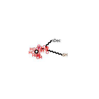 CCCCCCCCCCCCCCCC(=O)O[C@H](COC(=O)CCCCCCCCCCS)COP(=O)(O)OC1C(O)[C@H](OP(=O)(O)O)C(O)[C@H](O)[C@@H]1O